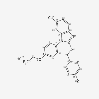 Cl.FC(F)(F)COc1ccc(-n2c(SCc3ccc(Cl)cc3)nc3ccc(Cl)cc32)cc1